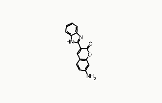 Nc1ccc2cc(-c3nc4ccccc4[nH]3)c(=O)oc2c1